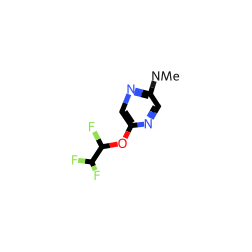 CNc1cnc(OC(F)C(F)F)cn1